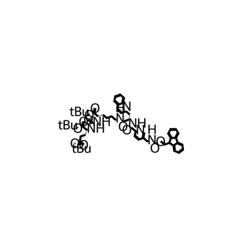 CC(C)(C)OC(=O)CC[C@@H](NC(=O)N[C@@H](CCCCNC(=O)[C@H](Cc1ccc2ccccc2n1)NC(=O)c1ccc(CNC(=O)OCC2c3ccccc3-c3ccccc32)cn1)C(=O)OC(C)(C)C)C(=O)OC(C)(C)C